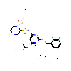 C[C@@H]1NCCN(S(N)(=O)=O)C1S(=O)(=O)Nc1cc(O[C@H](C)C(=O)O)nc(SCc2cccc(F)c2F)n1